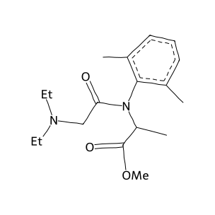 CCN(CC)CC(=O)N(c1c(C)cccc1C)C(C)C(=O)OC